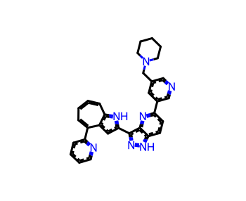 C1=CC=C(c2ccccn2)c2cc(-c3n[nH]c4ccc(-c5cncc(CN6CCCCC6)c5)nc34)[nH]c2C=1